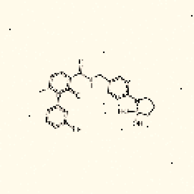 Cc1ccc(C(=O)NCc2ccc(N3CCCS3(O)O)cc2)c(=O)n1-c1cccc(C(F)(F)F)c1